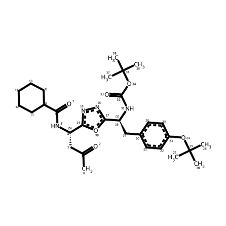 CC(=O)C[C@H](NC(=O)C1CCCCC1)c1nnc([C@H](Cc2ccc(OC(C)(C)C)cc2)NC(=O)OC(C)(C)C)o1